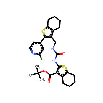 CC(C)(C)OC(=O)c1c(NC(=O)NCc2c(-c3ccnc(Cl)c3)sc3c2CCCC3)sc2c1CCCC2